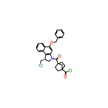 O=C(Cl)C12CCC(C(=O)N3C[C@@H](CCl)c4c3cc(OCc3ccccc3)c3ccccc43)(CC1)C2